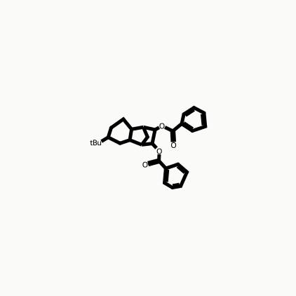 CC(C)(C)C1CCC2C(C1)C1CC2C(OC(=O)c2ccccc2)C1OC(=O)c1ccccc1